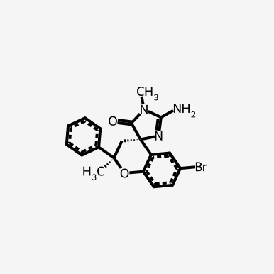 CN1C(=O)[C@@]2(C[C@](C)(c3ccccc3)Oc3ccc(Br)cc32)N=C1N